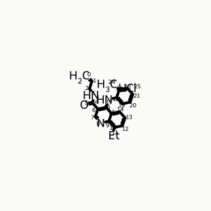 C=CCNC(=O)c1cnc2c(CC)cccc2c1Nc1ccccc1C.Cl